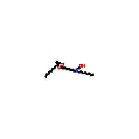 CCCCCCCCC(OC(=O)CCCCCCCN(CCO)CCCCCCCC)C(C)C